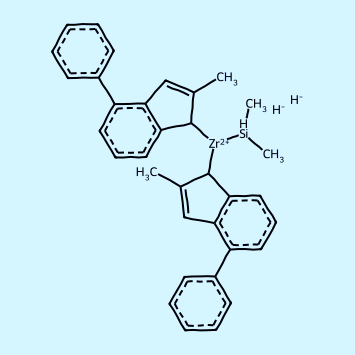 CC1=Cc2c(-c3ccccc3)cccc2[CH]1[Zr+2]([CH]1C(C)=Cc2c(-c3ccccc3)cccc21)[SiH](C)C.[H-].[H-]